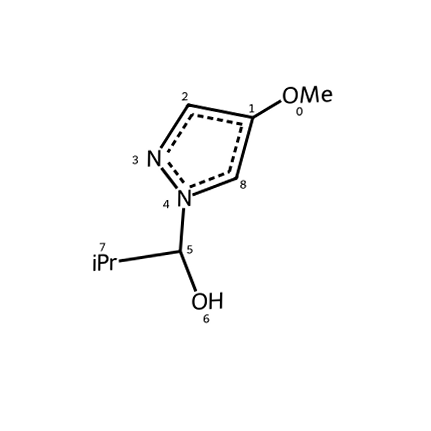 COc1cnn(C(O)C(C)C)c1